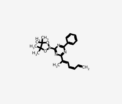 C=C/C=C\C=C(/C)c1nc(B2OC(C)(C)C(C)(C)O2)nc(-c2ccccc2)n1